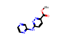 CC(C)(C)OC(=O)c1ccc(Nc2cnccn2)nn1